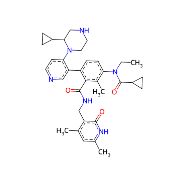 CCN(C(=O)C1CC1)c1ccc(-c2cnccc2N2CCNCC2C2CC2)c(C(=O)NCc2c(C)cc(C)[nH]c2=O)c1C